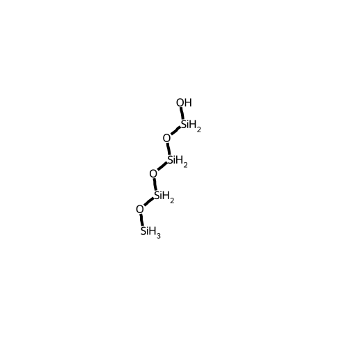 O[SiH2]O[SiH2]O[SiH2]O[SiH3]